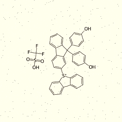 O=S(=O)(O)C(F)(F)F.Oc1ccc(C2(c3ccc(O)cc3)c3ccccc3-c3ccc(-[s+]4c5ccccc5c5ccccc54)cc32)cc1